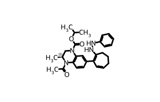 CC(=O)N1c2ccc(C3=C(NNc4ccccc4)CCCC=C3)cc2N(C(=O)OC(C)C)C[C@@H]1C